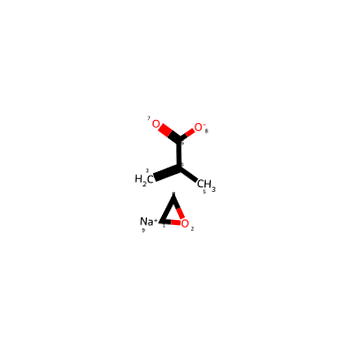 C1CO1.C=C(C)C(=O)[O-].[Na+]